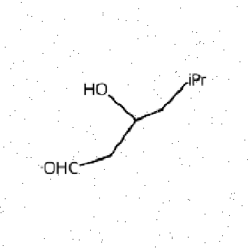 CC(C)CC(O)C[C]=O